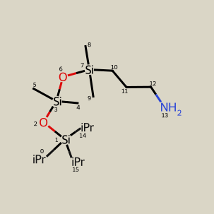 CC(C)[Si](O[Si](C)(C)O[Si](C)(C)CCCN)(C(C)C)C(C)C